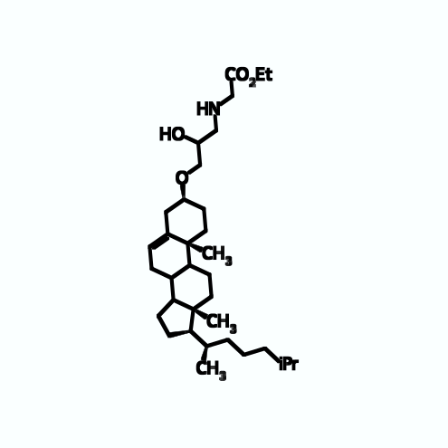 CCOC(=O)CNCC(O)CO[C@H]1CC[C@@]2(C)C(=CCC3C2CC[C@@]2(C)C3CC[C@@H]2[C@H](C)CCCC(C)C)C1